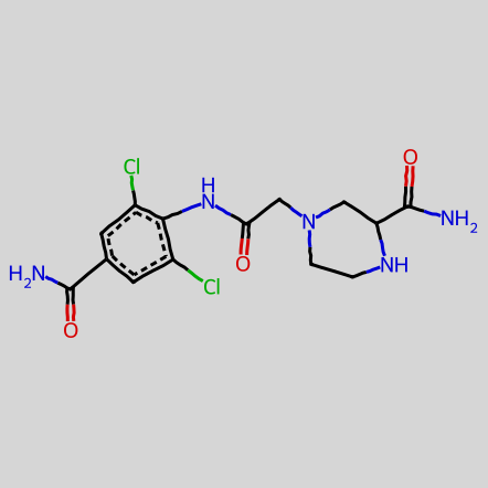 NC(=O)c1cc(Cl)c(NC(=O)CN2CCNC(C(N)=O)C2)c(Cl)c1